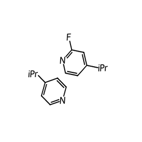 CC(C)c1ccnc(F)c1.CC(C)c1ccncc1